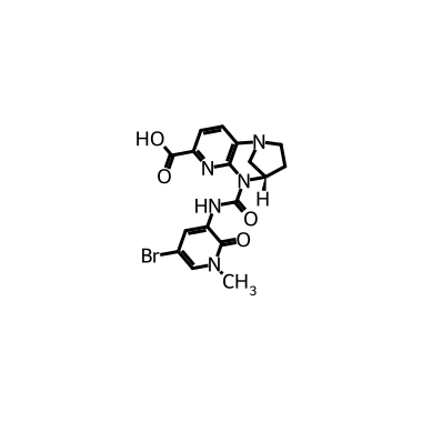 Cn1cc(Br)cc(NC(=O)N2c3nc(C(=O)O)ccc3N3CC[C@H]2C3)c1=O